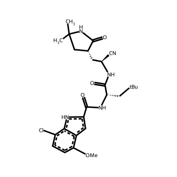 COc1ccc(Cl)c2[nH]c(C(=O)N[C@@H](CC(C)(C)C)C(=O)N[C@H](C#N)C[C@@H]3CC(C)(C)NC3=O)cc12